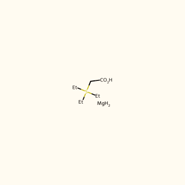 CCS(CC)(CC)CC(=O)O.[MgH2]